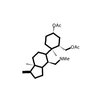 C=C1CCC2[C@H](CNC)C([C@@]3(C)CC[C@H](OC(C)=O)C[C@@H]3COC(C)=O)CC[C@]12C